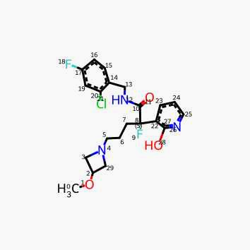 COC1CN(CCC[C@@](F)(C(=O)NCc2ccc(F)cc2Cl)c2cccnc2O)C1